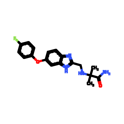 CC(C)(NCc1nc2ccc(Oc3ccc(F)cc3)cc2[nH]1)C(N)=O